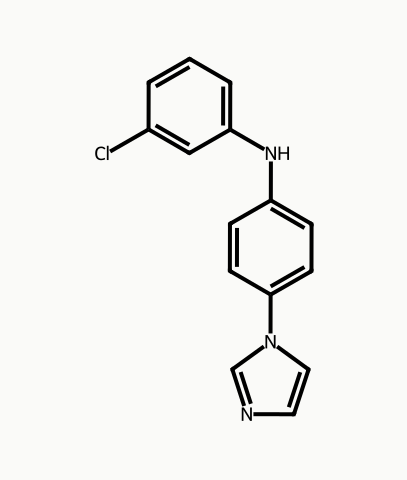 Clc1cccc(Nc2ccc(-n3ccnc3)cc2)c1